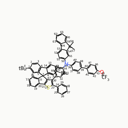 CC(C)(C)c1ccc2c(c1)C1(c3cc(C(C)(C)C)ccc3-2)c2ccccc2-c2sc(-c3ccccc3)c(-c3ccc(N(c4ccc(-c5ccc(OC(F)(F)F)cc5)cc4)c4ccc5c(c4)C(C)(C)c4ccccc4-5)cc3)c21